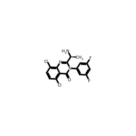 C[C@H](N)c1nc2c(Cl)ccc(Cl)c2c(=O)n1-c1cc(F)cc(F)c1